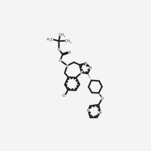 CC(C)(C)OC(=O)ON1Cc2cc(Cl)ccc2-n2c(nnc2[C@H]2CC[C@H](Oc3cnccn3)CC2)C1